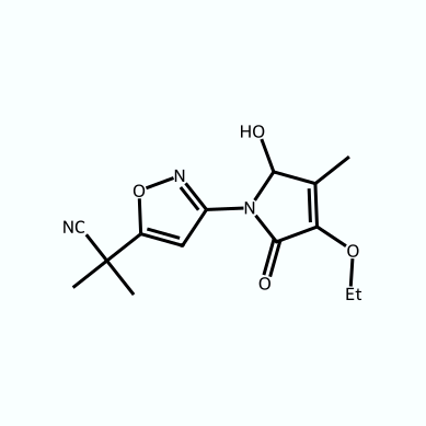 CCOC1=C(C)C(O)N(c2cc(C(C)(C)C#N)on2)C1=O